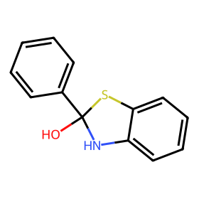 OC1(c2ccccc2)Nc2ccccc2S1